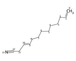 C=CCCCCCCC/C=C/CC#N